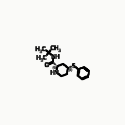 CC(C)(C)NC(=O)[C@@H]1C[C@H](Sc2ccccc2)CCN1